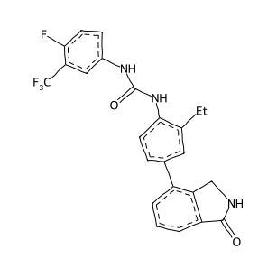 CCc1cc(-c2cccc3c2CNC3=O)ccc1NC(=O)Nc1ccc(F)c(C(F)(F)F)c1